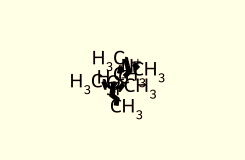 CCC[Si]([O-])(CCC)CCC.CC[N+](CC)(CC)CC